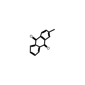 Cc1[c]c2c(cc1)C(=O)c1ccccc1C2=O